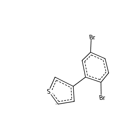 Brc1ccc(Br)c(-c2c[c]sc2)c1